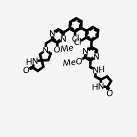 COc1nc(-c2cccc(-c3cccc(-c4cnc(CN5CCC6(CCC(=O)N6)C5)c(OC)n4)c3Cl)c2Cl)cnc1CNCC1CCC(=O)N1